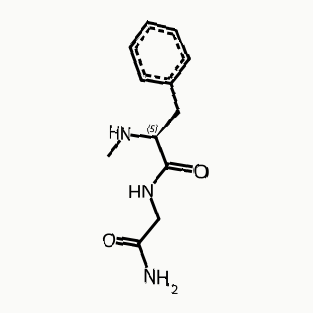 CN[C@@H](Cc1ccccc1)C(=O)NCC(N)=O